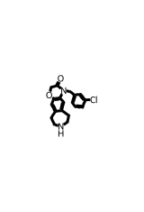 O=C1COc2cc3c(cc2N1Cc1cccc(Cl)c1)CCNCC3